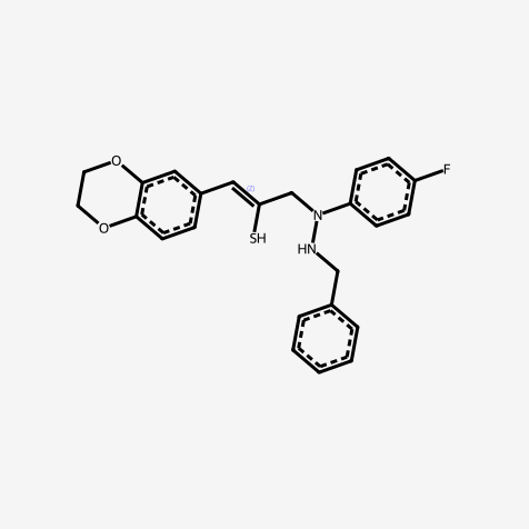 Fc1ccc(N(C/C(S)=C/c2ccc3c(c2)OCCO3)NCc2ccccc2)cc1